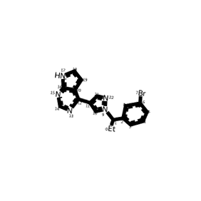 CCC(c1cccc(Br)c1)n1cc(-c2ncnc3[nH]ccc23)cn1